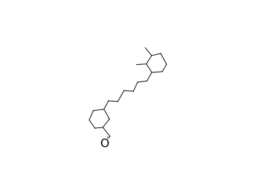 CC1CCCC(CCCCCCC2CCCC(C=O)C2)C1C